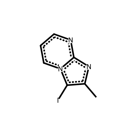 Cc1nc2ncccn2c1I